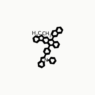 CC1(C)c2ccccc2-c2cc3c(-c4ccc(-c5cc6ccccc6n5-c5ccccc5)cc4)c4ccccc4c(-c4ccc5ccccc5c4)c3cc21